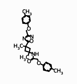 Cc1ccc(OCC(=O)NC2(C)CC(C)(c3nc(COc4ccc(C)cc4)no3)C2)cc1